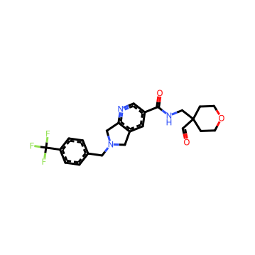 O=CC1(CNC(=O)c2cnc3c(c2)CN(Cc2ccc(C(F)(F)F)cc2)C3)CCOCC1